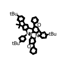 CC(C)(C)c1ccc(N2B3c4cc5oc6ccccc6c5cc4-n4c5ccc(C(C)(C)C)cc5c5c6oc7ccccc7c6c(c3c54)-c3cc4c(cc32)C(C)(C)c2cc(C(C)(C)C)ccc2-4)cc1